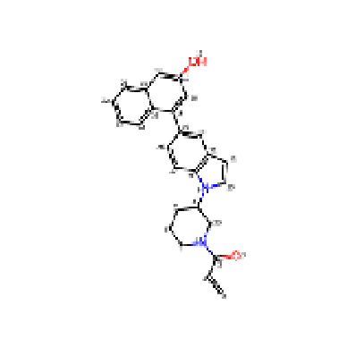 C=CC(=O)N1CCCC(n2ccc3cc(-c4cc(O)cc5ccccc45)ccc32)C1